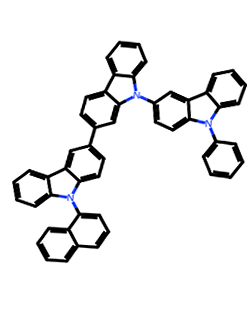 c1ccc(-n2c3ccccc3c3cc(-n4c5ccccc5c5ccc(-c6ccc7c(c6)c6ccccc6n7-c6cccc7ccccc67)cc54)ccc32)cc1